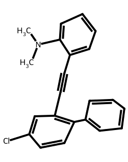 CN(C)c1ccccc1C#Cc1cc(Cl)ccc1-c1ccccc1